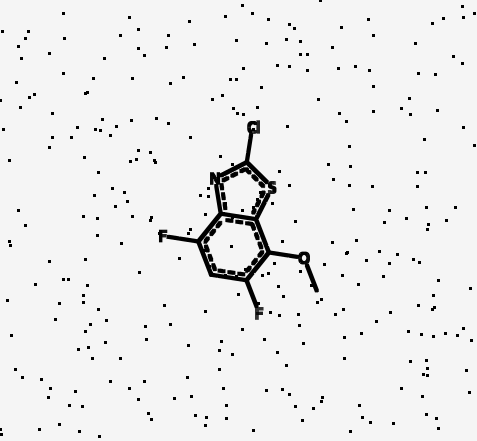 COc1c(F)cc(F)c2nc(Cl)sc12